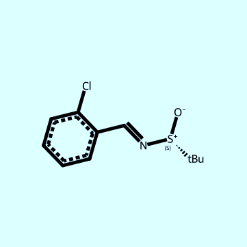 CC(C)(C)[S@@+]([O-])N=Cc1ccccc1Cl